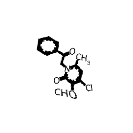 Cc1cc(Cl)c(C=O)c(=O)n1CC(=O)c1ccccc1